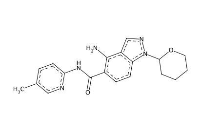 Cc1ccc(NC(=O)c2ccc3c(cnn3C3CCCCO3)c2N)nc1